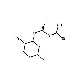 CCC(O)OC(=O)OC1CC(C)CCC1C(C)C